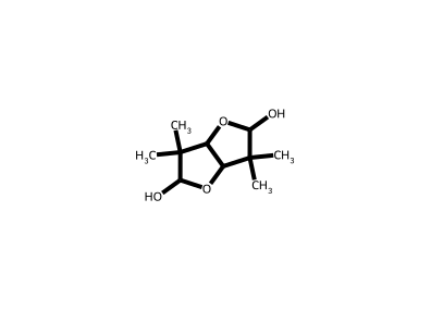 CC1(C)C(O)OC2C1OC(O)C2(C)C